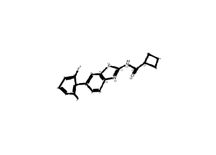 Cc1cccc(F)c1-c1ccc2nc(NC(=O)C3CCC3)sc2c1